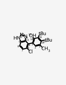 Cc1cc(-c2c(Cl)ccc3[nH]nnc23)c(O)c(C(C)(C)C)c1C(C)(C)C